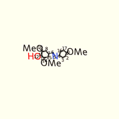 COc1ccc(N=Cc2cc(OC)c(O)c(OC)c2)cc1